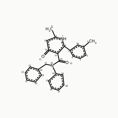 Cc1cccc(-c2[nH]c(C)cc(=O)c2C(=O)N(Cc2ccccc2)c2ccccc2)c1